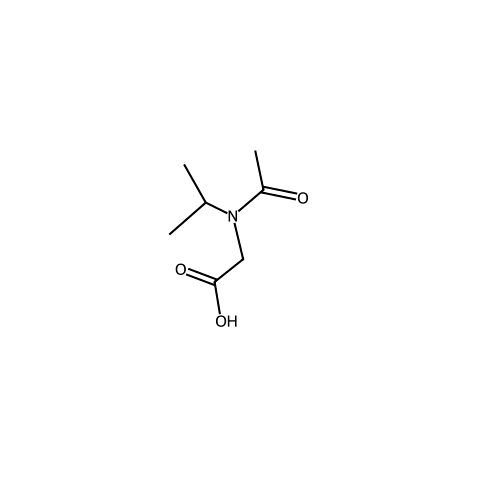 CC(=O)N(CC(=O)O)C(C)C